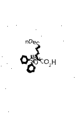 CCCCCCCCCCCCCCC(O[Si](c1ccccc1)(c1ccccc1)C(C)(C)C)C(=O)O